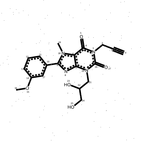 C#CCn1c(=O)c2c(nc(-c3cccc(OC)c3)n2C)n(CC(O)CO)c1=O